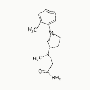 Cc1ccccc1N1CCC(N(C)CC(N)=O)C1